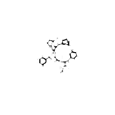 O=C(NCC(F)(F)F)[C@@H]1Cc2cccc(c2)Oc2cccc(c2)C[C@H](N2CCCC2=O)C(=O)N[C@@H](CCc2ccccc2)C(=O)N1